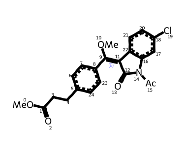 COC(=O)CCc1ccc(/C(OC)=C2\C(=O)N(C(C)=O)c3cc(Cl)ccc32)cc1